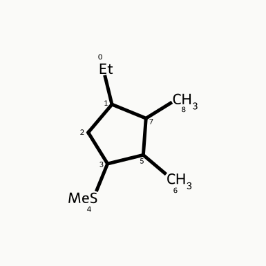 CCC1CC(SC)C(C)C1C